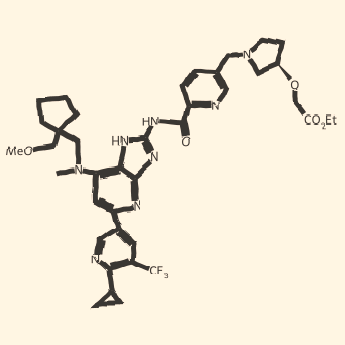 CCOC(=O)CO[C@@H]1CCN(Cc2ccc(C(=O)Nc3nc4nc(-c5cnc(C6CC6)c(C(F)(F)F)c5)cc(N(C)CC5(COC)CCCC5)c4[nH]3)nc2)C1